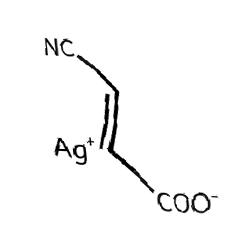 N#CC=CC(=O)[O-].[Ag+]